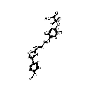 COc1ccc(-c2csc(NCCOc3cc(C)c(OC(C)(C)C(=O)O)cc3C)n2)cc1